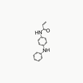 C=CC(=O)Nc1ccc(Nc2ccccc2)cc1